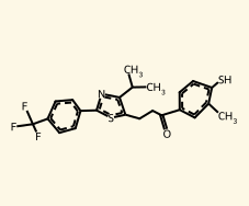 Cc1cc(C(=O)CCc2sc(-c3ccc(C(F)(F)F)cc3)nc2C(C)C)ccc1S